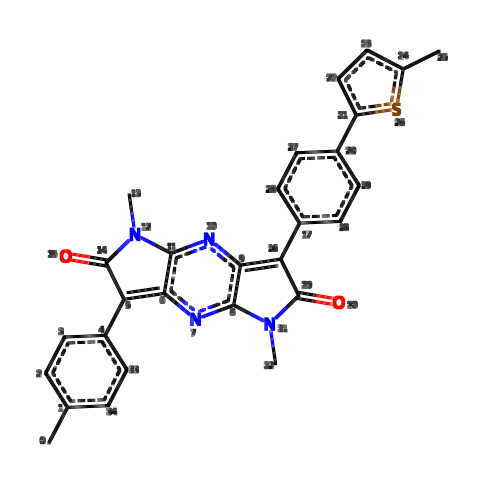 Cc1ccc(C2=c3nc4c(nc3N(C)C2=O)=C(c2ccc(-c3ccc(C)s3)cc2)C(=O)N4C)cc1